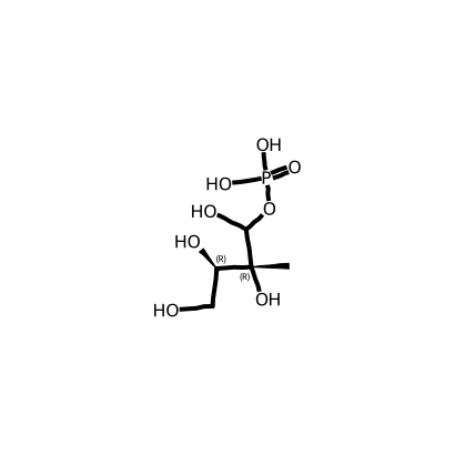 C[C@](O)(C(O)OP(=O)(O)O)[C@H](O)CO